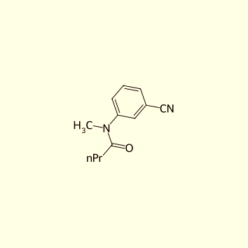 CCCC(=O)N(C)c1cccc(C#N)c1